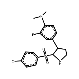 CN(C)c1ccc(C2CCNC2S(=O)(=O)c2ccc(Cl)cc2)cc1F